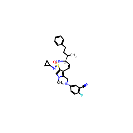 CC(CCc1ccccc1)[C@H]1C=Cc2c(cn(C)c2CNc2ccc(F)c(C#N)c2)S(=O)(=NC2CC2)N1